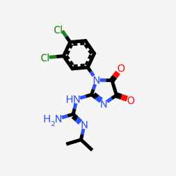 CC(C)N=C(N)NC1=NC(=O)C(=O)N1c1ccc(Cl)c(Cl)c1